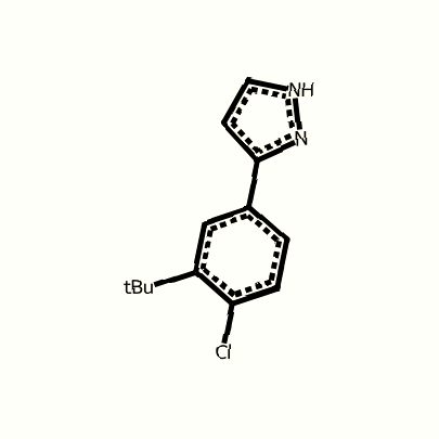 CC(C)(C)c1cc(-c2cc[nH]n2)ccc1Cl